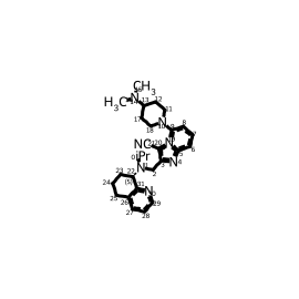 CC(C)N(Cc1nc2cccc(N3CCC(N(C)C)CC3)n2c1C#N)[C@H]1CCCc2cccnc21